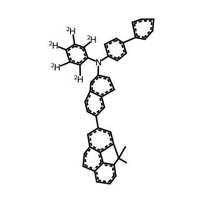 [2H]c1c([2H])c([2H])c(N(c2ccc(-c3ccccc3)cc2)c2ccc3cc(-c4cc5c6c(ccc7cccc(c76)C5(C)C)c4)ccc3c2)c([2H])c1[2H]